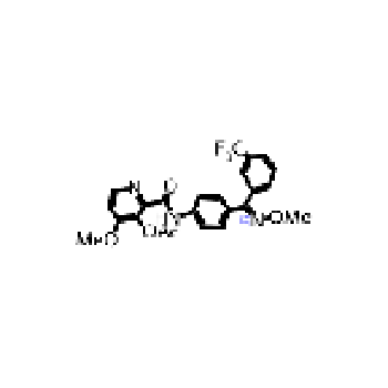 CO/N=C(/c1ccc(NC(=O)c2nccc(OC)c2OC(C)=O)cc1)c1cccc(C(F)(F)F)c1